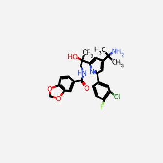 CC(C)(N)c1cc(-c2ccc(F)c(Cl)c2)nc(C(O)(CNC(=O)c2ccc3c(c2)OCO3)C(F)(F)F)c1